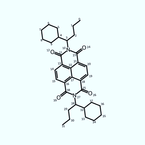 CCCC(C1CCCCC1)N1C(=O)c2ccc3c4c(ccc(c24)C1=O)C(=O)N(C(CCC)C1CCCCC1)C3=O